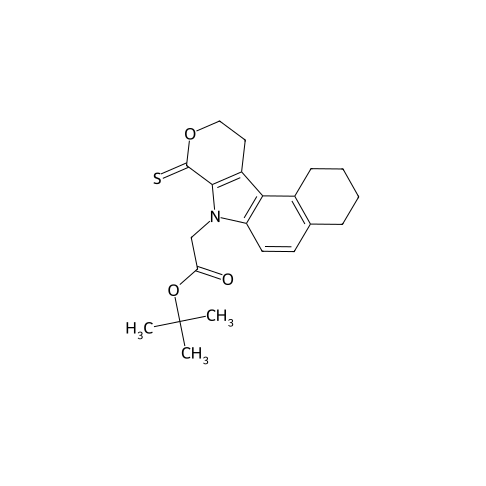 CC(C)(C)OC(=O)Cn1c2c(c3c4c(ccc31)CCCC4)CCOC2=S